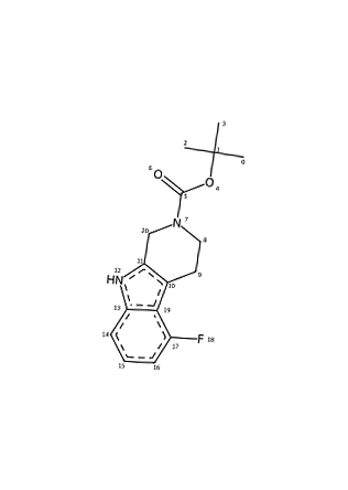 CC(C)(C)OC(=O)N1CCc2c([nH]c3cccc(F)c23)C1